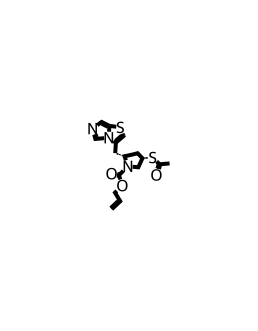 C=CCOC(=O)N1C[C@@H](SC(C)=O)C[C@H]1Cc1csc2cncn12